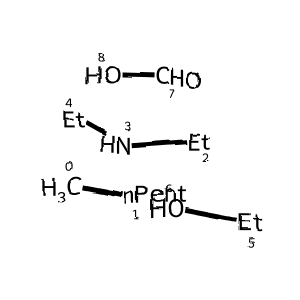 CCCCCC.CCNCC.CCO.O=CO